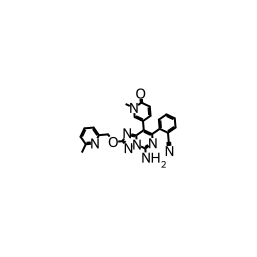 Cc1cccc(COc2nc3c(-c4ccc(=O)n(C)c4)c(-c4ccccc4C#N)nc(N)n3n2)n1